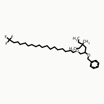 CCC(C)(CC)CC(COCCCCCCCCCCCCCCCCCC(F)(F)F)OCc1ccccc1